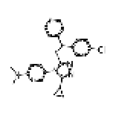 CN(C)c1ccc(-n2c(SC(c3ccccc3)c3ccc(Cl)cc3)nnc2C2CC2)cc1